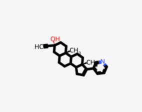 C#C[C@@]1(O)CC[C@@]2(C)C(CCC3C2CC[C@]2(C)C(c4cccnc4)=CCC32)C1